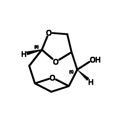 O[C@H]1C2CC(C[C@@H]3OCC1O3)O2